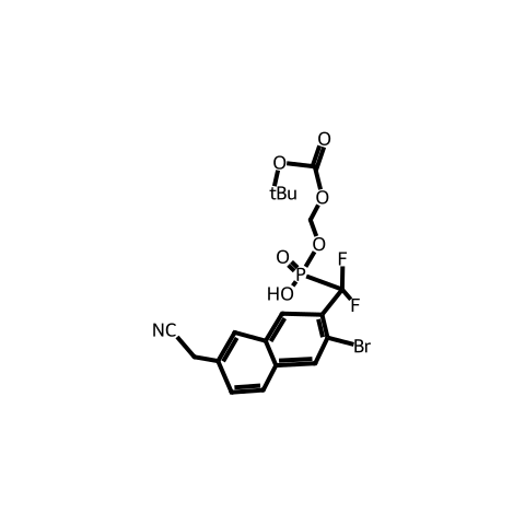 CC(C)(C)OC(=O)OCOP(=O)(O)C(F)(F)c1cc2cc(CC#N)ccc2cc1Br